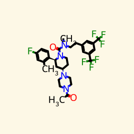 CC(=O)N1CCN([C@H]2CCN(C(=O)N(C)CCc3cc(C(F)(F)F)cc(C(F)(F)F)c3)[C@H](c3ccc(F)cc3C)C2)CC1